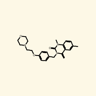 C=C1c2cc(C)ccc2N(C)C(=O)N1Cc1ccc(OCCN2CCOCC2)cc1